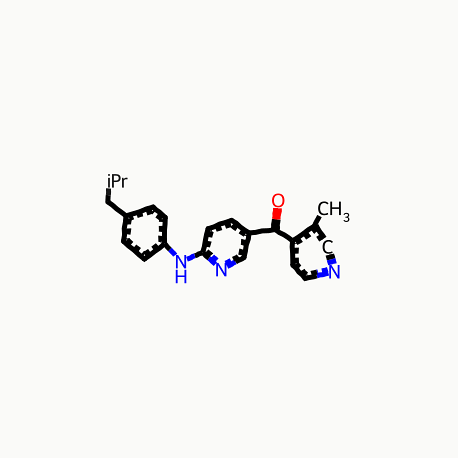 Cc1cnccc1C(=O)c1ccc(Nc2ccc(CC(C)C)cc2)nc1